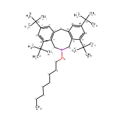 CCCCCCCCOP1Cc2c(cc(C(C)(C)C)cc2C(C)(C)C)Cc2cc(C(C)(C)C)cc(C(C)(C)C)c2C1